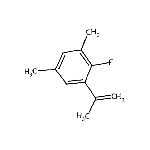 C=C(C)c1cc(C)cc(C)c1F